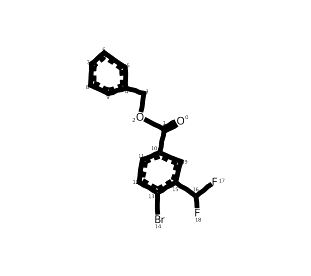 O=C(OCc1ccccc1)c1ccc(Br)c(C(F)F)c1